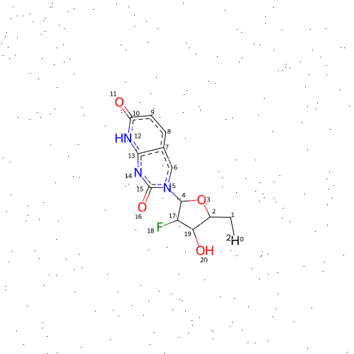 [2H]CC1OC(n2cc3ccc(=O)[nH]c3nc2=O)C(F)C1O